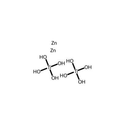 [OH][Ti]([OH])([OH])[OH].[OH][Ti]([OH])([OH])[OH].[Zn].[Zn]